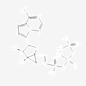 Nc1ncnn2c([C@@H]3O[C@@]4(COP(=O)(O)OP(=O)(O)OP(=O)(O)O)C[C@]4(O)[C@H]3O)ccc12